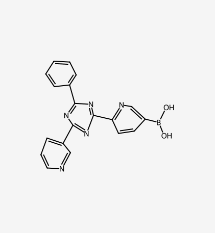 OB(O)c1ccc(-c2nc(-c3ccccc3)nc(-c3cccnc3)n2)nc1